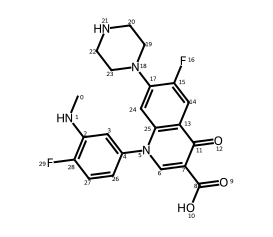 CNc1cc(-n2cc(C(=O)O)c(=O)c3cc(F)c(N4CCNCC4)cc32)ccc1F